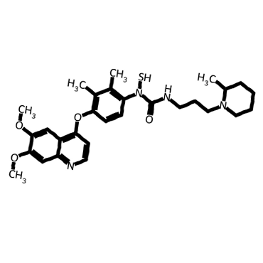 COc1cc2nccc(Oc3ccc(N(S)C(=O)NCCCN4CCCCC4C)c(C)c3C)c2cc1OC